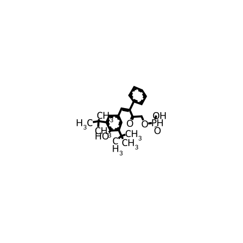 CC(C)(C)c1cc(C=C(C(=O)CO[PH](=O)O)c2ccccc2)cc(C(C)(C)C)c1O